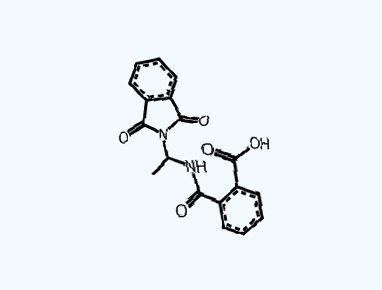 CC(NC(=O)c1ccccc1C(=O)O)N1C(=O)c2ccccc2C1=O